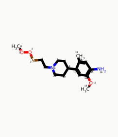 COOSCCN1CCC(c2cc(OC)c(N)cc2C)CC1